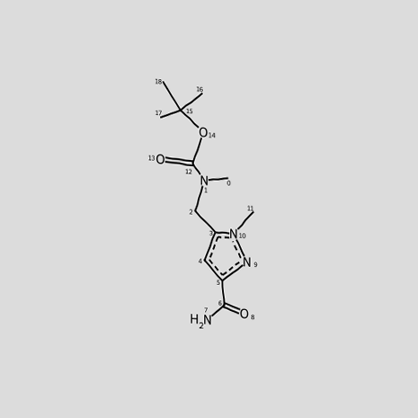 CN(Cc1cc(C(N)=O)nn1C)C(=O)OC(C)(C)C